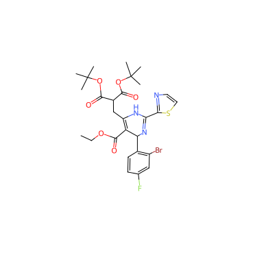 CCOC(=O)C1=C(CC(C(=O)OC(C)(C)C)C(=O)OC(C)(C)C)NC(c2nccs2)=NC1c1ccc(F)cc1Br